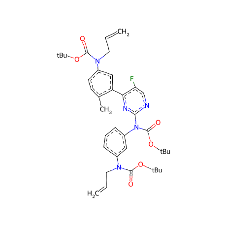 C=CCN(C(=O)OC(C)(C)C)c1cccc(N(C(=O)OC(C)(C)C)c2ncc(F)c(-c3cc(N(CC=C)C(=O)OC(C)(C)C)ccc3C)n2)c1